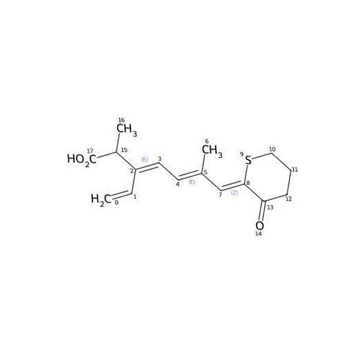 C=C\C(=C/C=C(C)/C=C1\SCCCC1=O)C(C)C(=O)O